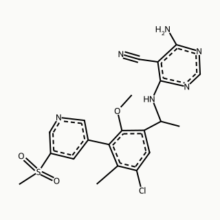 COc1c(C(C)Nc2ncnc(N)c2C#N)cc(Cl)c(C)c1-c1cncc(S(C)(=O)=O)c1